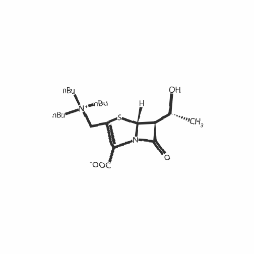 CCCC[N+](CCCC)(CCCC)CC1=C(C(=O)[O-])N2C(=O)[C@H]([C@@H](C)O)[C@H]2S1